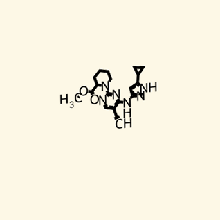 C#Cc1cnc(N2CCCCC2C(=O)OC)nc1Nc1cc(C2CC2)[nH]n1